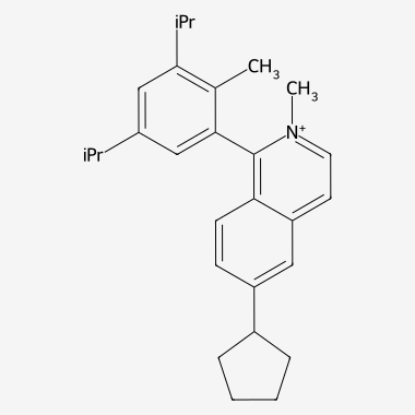 Cc1c(-c2c3ccc(C4CCCC4)cc3cc[n+]2C)cc(C(C)C)cc1C(C)C